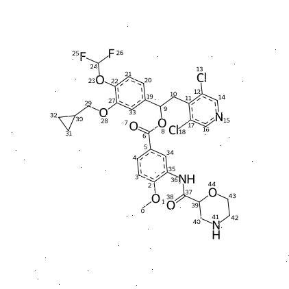 COc1ccc(C(=O)OC(Cc2c(Cl)cncc2Cl)c2ccc(OC(F)F)c(OCC3CC3)c2)cc1NC(=O)C1CNCCO1